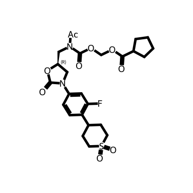 CC(=O)N(C[C@H]1CN(c2ccc(C3CCS(=O)(=O)CC3)c(F)c2)C(=O)O1)C(=O)OCOC(=O)C1CCCC1